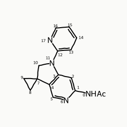 CC(=O)Nc1cc2c(cn1)C1(CC1)CN2c1ccccn1